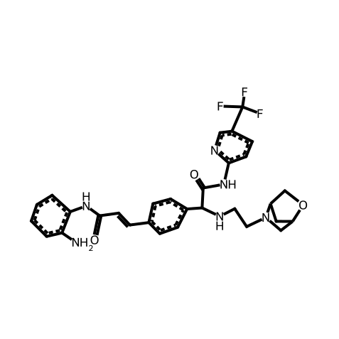 Nc1ccccc1NC(=O)C=Cc1ccc(C(NCCN2CC3CC2CO3)C(=O)Nc2ccc(C(F)(F)F)cn2)cc1